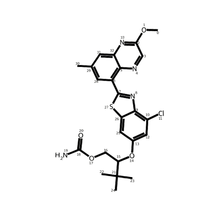 COc1cnc2c(-c3nc4c(Cl)cc(OC(COC(N)=O)C(C)(C)C)cc4s3)cc(C)cc2n1